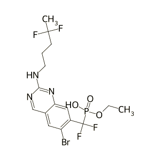 CCOP(=O)(O)C(F)(F)c1cc2nc(NCCCC(C)(F)F)ncc2cc1Br